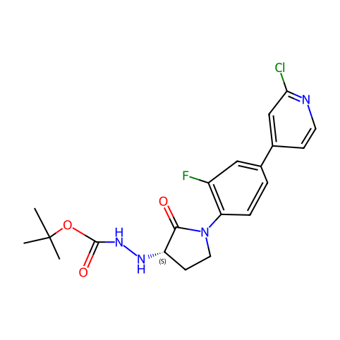 CC(C)(C)OC(=O)NN[C@H]1CCN(c2ccc(-c3ccnc(Cl)c3)cc2F)C1=O